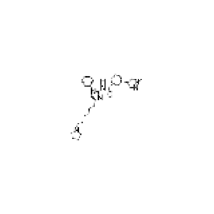 Cn1cc(-c2cccc(C(=O)Nc3nc(CCCCCCN4CCCC4)cn3-c3ccccc3)c2)cn1